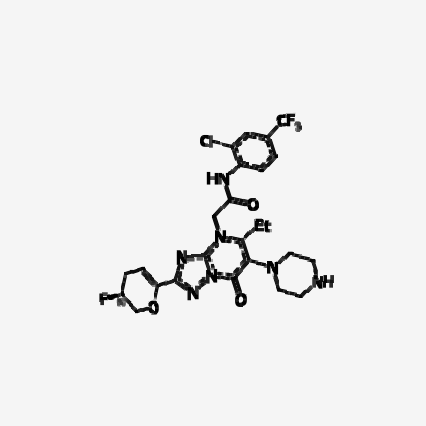 CCc1c(N2CCNCC2)c(=O)n2nc(C3=CC[C@H](F)CO3)nc2n1CC(=O)Nc1ccc(C(F)(F)F)cc1Cl